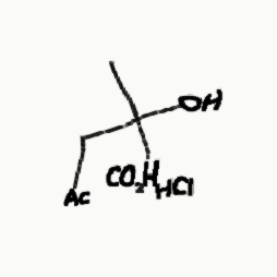 CC(=O)CC(C)(O)C(=O)O.Cl